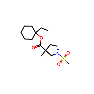 CCC1(OC(=O)C(C)(CC)CNS(C)(=O)=O)CCCCC1